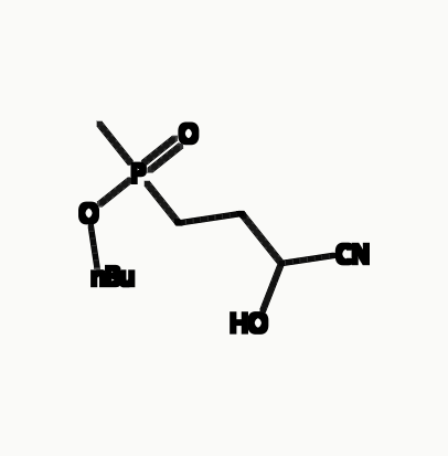 CCCCOP(C)(=O)CCC(O)C#N